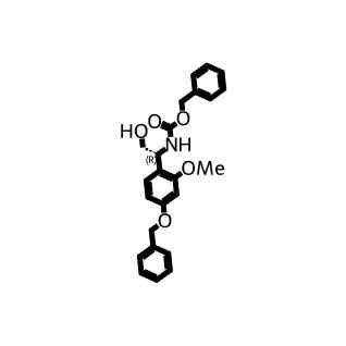 COc1cc(OCc2ccccc2)ccc1[C@H](CO)NC(=O)OCc1ccccc1